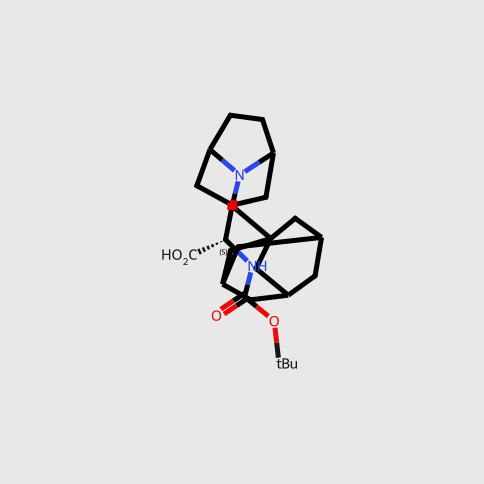 CC(C)(C)OC(=O)N[C@H](C(=O)O)C1CC2CCC(C1)N2CC12CC3CC(CC(C3)C1)C2